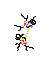 CCCCC(CC)CO[Si](CC(SSSSSC(C[Si](OCC(CC)CCCC)(OCC(CC)CCCC)OCC(CC)CCCC)c1nc2ccccc2s1)c1nc2ccccc2s1)(OCC(CC)CCCC)OCC(CC)CCCC